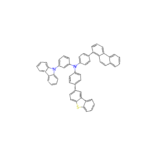 c1cc(N(c2ccc(-c3ccc4sc5ccccc5c4c3)cc2)c2ccc(-c3cccc4c3ccc3ccccc34)cc2)cc(-n2c3ccccc3c3ccccc32)c1